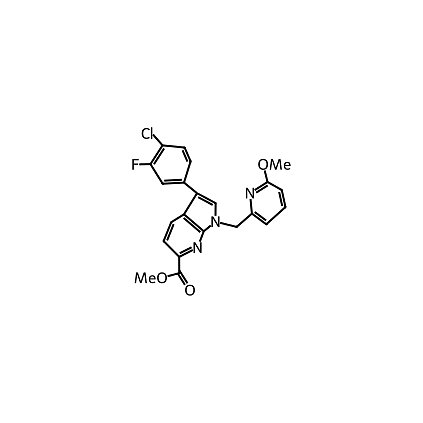 COC(=O)c1ccc2c(-c3ccc(Cl)c(F)c3)cn(Cc3cccc(OC)n3)c2n1